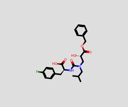 CC(C)CN(C[C@H](O)C(=O)OCc1ccccc1)C(=O)N[C@@H](Cc1ccc(F)cc1)C(=O)O